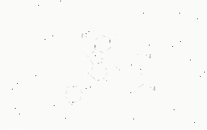 CNc1cc(F)cc2c1[nH]c1nc(Oc3cnc(C)nc3)nc(N3C[C@@H](CN)[C@@H](CC(N)=O)C3)c12